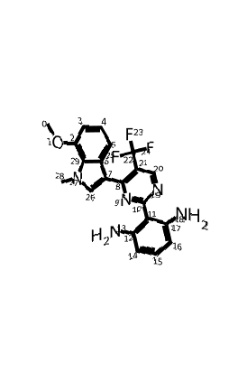 COc1cccc2c(-c3nc(-c4c(N)cccc4N)ncc3C(F)(F)F)cn(C)c12